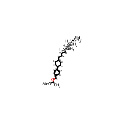 COC(C)OCc1ccc(C2CCC(CCCC[SiH2][SiH2][SiH2][SiH2][SiH2][SiH2][SiH3])CC2)cc1